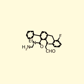 CCN(CN)C(=O)c1c(-c2ccccc2)ccc(Cc2c(F)cccc2F)c1CCC=O